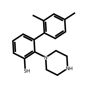 Cc1ccc(-c2cccc(S)c2N2CCNCC2)c(C)c1